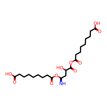 N=C(CC(O)C(=O)OC(=O)CCCCCCCC(=O)O)OC(=O)CCCCCCCC(=O)O